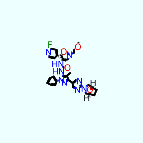 COCCN1C[C@@H](NC(=O)Nc2c(C)c(-c3cnc(N4C[C@H]5CC[C@@H](C4)O5)nc3)nn2-c2ccccc2)[C@H](c2ccnc(F)c2)O1